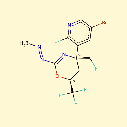 BN=NC1=N[C@](CF)(c2cc(Br)cnc2F)C[C@@H](C(F)(F)F)O1